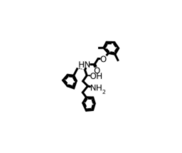 Cc1cccc(C)c1OCC(=O)N[C@@H](Cc1ccccc1)[C@@H](O)CC(N)Cc1ccccc1